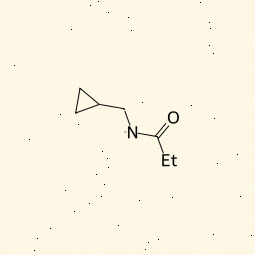 CCC(=O)[N]CC1CC1